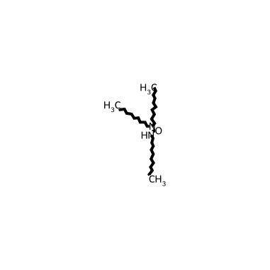 CCCCCCCCCCCNC(=O)N(CCCCCCCCCC)CCCCCCCCCC